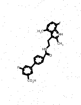 Cc1[nH]c2c(F)ccc(C)c2c1CCNC(=O)c1ccc(-c2cc(F)cc(C(=O)O)c2)cc1